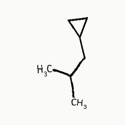 CC(C)CC1CC1